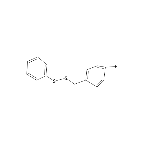 Fc1ccc(CSSc2ccccc2)cc1